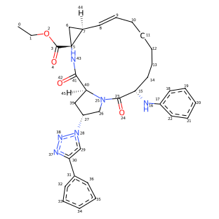 CCOC(=O)[C@@]12C[C@H]1/C=C\CCCCC[C@H](Nc1ccccc1)C(=O)N1C[C@H](n3cc(-c4ccccc4)nn3)C[C@H]1C(=O)N2